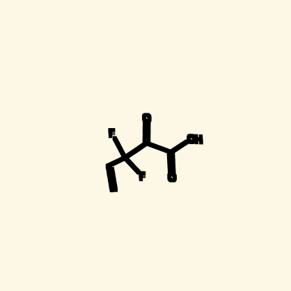 C=CC(F)(F)C(=O)C(=O)O